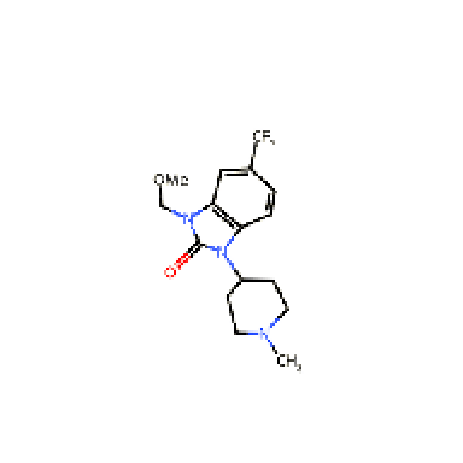 COCn1c(=O)n(C2CCN(C)CC2)c2ccc(C(F)(F)F)cc21